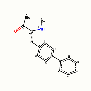 CC(C)N[C@H](Cc1ccc(-c2ccccc2)cc1)C(=O)C(C)(C)C